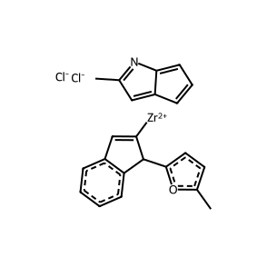 CC1=NC2=CC=CC2=C1.Cc1ccc(C2[C]([Zr+2])=Cc3ccccc32)o1.[Cl-].[Cl-]